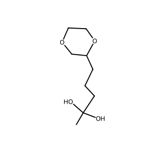 CC(O)(O)CCCC1COCCO1